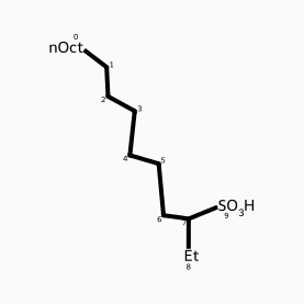 CCCCCCCCCCCCCC[C](CC)S(=O)(=O)O